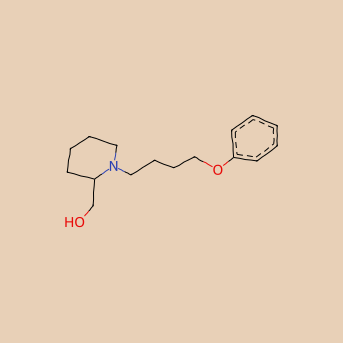 OCC1CCCCN1CCCCOc1ccccc1